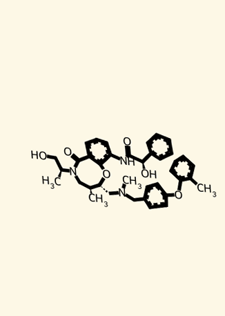 Cc1ccccc1Oc1ccc(CN(C)C[C@H]2Oc3c(NC(=O)[C@H](O)c4ccccc4)cccc3C(=O)N([C@@H](C)CO)C[C@H]2C)cc1